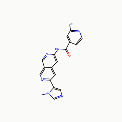 Cn1cncc1-c1cc2cc(NC(=O)c3ccnc(C#N)c3)ncc2cn1